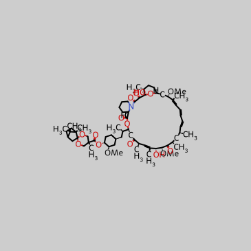 CO[C@H]1C[C@@H]2CC[C@@H](C)[C@@](O)(O2)C(=O)C(=O)N2CCCC[C@H]2C(=O)O[C@H]([C@H](C)C[C@@H]2CC[C@@H](OC(=O)C3(C)COC4(CC5CCC4(C)C5(C)C)OC3)[C@H](OC)C2)CC(=O)[C@H](C)/C=C(\C)[C@@H](O)[C@@H](OC)C(=O)[C@H](C)C[C@H](C)/C=C/C=C/C=C/1C